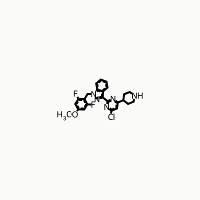 COc1cc(F)c(Cn2nc(-c3nc(Cl)cc(C4CCNCC4)n3)c3ccccc32)c(F)c1